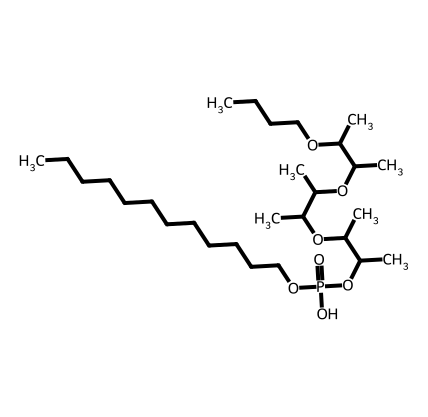 CCCCCCCCCCCCOP(=O)(O)OC(C)C(C)OC(C)C(C)OC(C)C(C)OCCCC